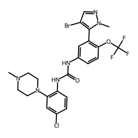 CN1CCN(c2cc(Cl)ccc2NC(=O)Nc2ccc(OC(F)(F)F)c(-c3c(Br)cnn3C)c2)CC1